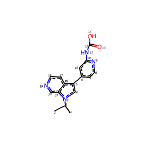 CC(C)n1cc(-c2ccnc(NC(=O)O)c2)c2ccncc21